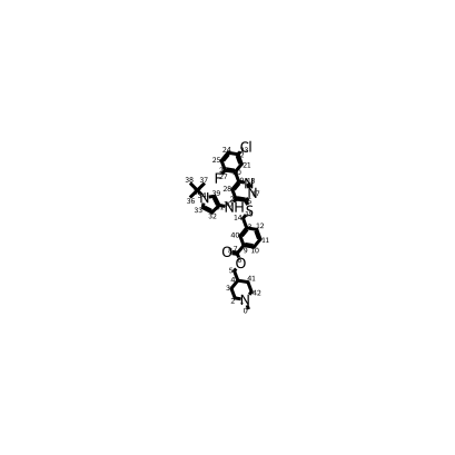 CN1CCC(COC(=O)c2cccc(CSc3nnc(-c4cc(Cl)ccc4F)cc3Nc3ccn(C(C)(C)C)c3)c2)CC1